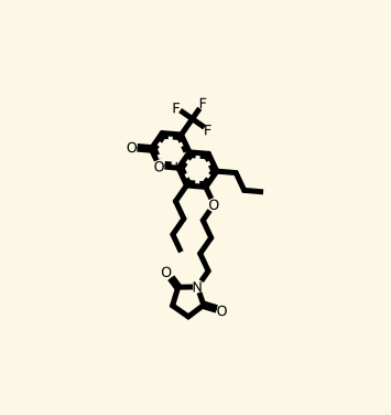 CCCCc1c(OCCCCN2C(=O)CCC2=O)c(CCC)cc2c(C(F)(F)F)cc(=O)oc12